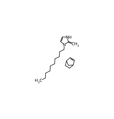 C1=CC2CCC1C2.C=C1NC=CN1CCCCCCCCCC